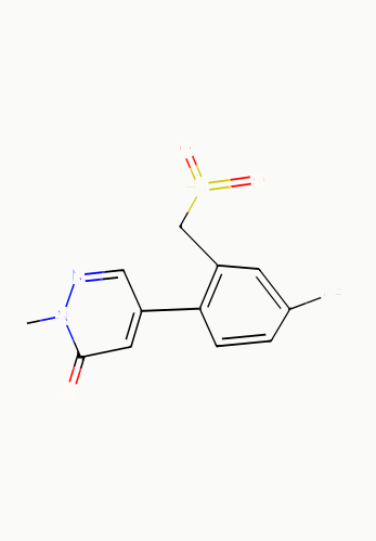 Cn1ncc(-c2ccc(C(F)(F)F)cc2C[SH](=O)=O)[c]c1=O